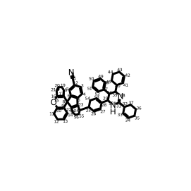 N#Cc1ccc2c(c1)C1(C3=C(CCC=C3)OC3=C1CCC=C3)C1=C2C(C2C=CC(C3NC(C4C=CCCC4)=NC(C4C=CCCC4)C3c3ccccc3)=CC2)CCC1